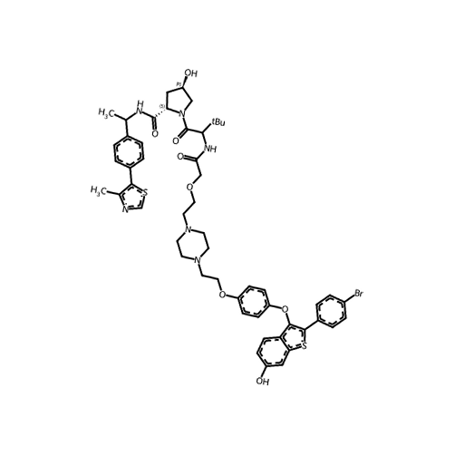 Cc1ncsc1-c1ccc(C(C)NC(=O)[C@@H]2C[C@@H](O)CN2C(=O)C(NC(=O)COCCN2CCN(CCOc3ccc(Oc4c(-c5ccc(Br)cc5)sc5cc(O)ccc45)cc3)CC2)C(C)(C)C)cc1